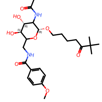 COc1ccc(C(=O)NCC2O[C@@H](OCCCCC(=O)C(C)(C)C)C(NC(C)=O)[C@@H](O)[C@@H]2O)cc1